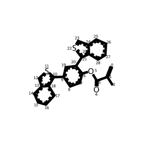 C=C(C)C(=O)Oc1ccc(-c2scc3ccccc23)cc1-c1scc2ccccc12